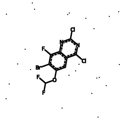 Fc1c(Br)c(OC(F)F)cc2c(Cl)nc(Cl)nc12